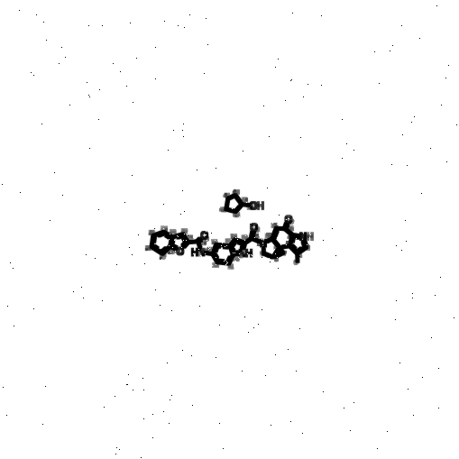 Cc1c[nH]c2c1C13CC1CN(C(=O)c1cc4cc(NC(=O)c5cc6ccccc6o5)ccc4[nH]1)C3=CC2=O.OC1CCCC1